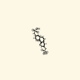 O=S(=O)(O)Cc1cnc2c(ccc3cc(CS(=O)(=O)O)cnc32)c1